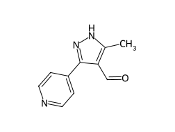 Cc1[nH]nc(-c2ccncc2)c1C=O